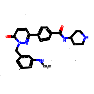 CCOC(=O)Nc1cccc(Cn2nc(-c3ccc(C(=O)NC4CCNCC4)cc3)ccc2=O)c1